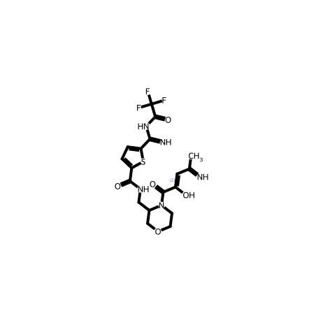 CC(=N)/C=C(\O)C(=O)N1CCOCC1CNC(=O)c1ccc(C(=N)NC(=O)C(F)(F)F)s1